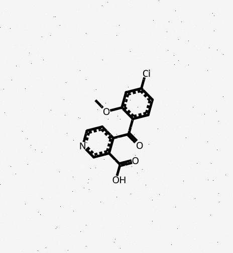 COc1cc(Cl)ccc1C(=O)c1ccncc1C(=O)O